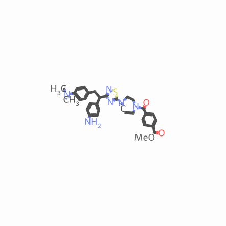 COC(=O)c1ccc(C(=O)N2CCCN(c3nc(C(Cc4ccc(N(C)C)cc4)c4ccc(N)cc4)ns3)CC2)cc1